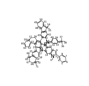 Cn1c(-c2ccccc2)cc2cc3c(cc21)-n1c2cc4c(cc2c2c5c(c6c(c21)B3N(c1ccc(C(C)(C)C)cc1)c1cc2c(cc1-6)-c1ccccc1C2(C)C)CCc1ccccc1-5)C(C)(C)CCC4(C)C